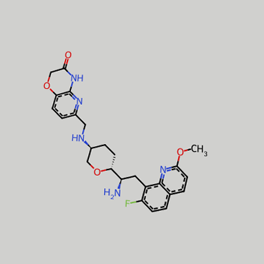 COc1ccc2ccc(F)c(C[C@@H](N)[C@H]3CC[C@H](NCc4ccc5c(n4)NC(=O)CO5)CO3)c2n1